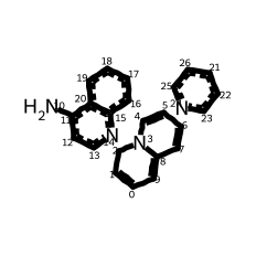 C1=CCN2C=CC=CC2=C1.Nc1ccnc2ccccc12.c1ccncc1